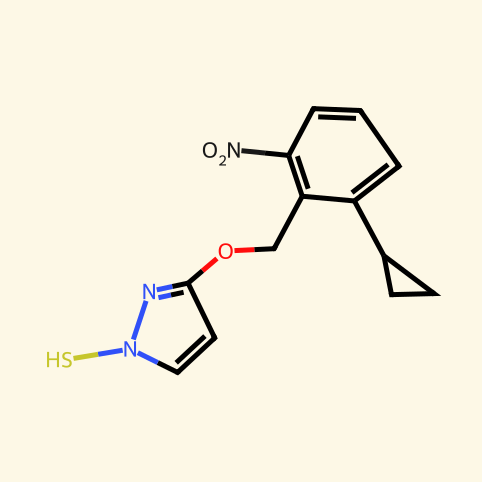 O=[N+]([O-])c1cccc(C2CC2)c1COc1ccn(S)n1